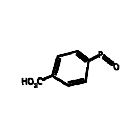 O=Pc1ccc(C(=O)O)cc1